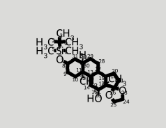 CC(C)(C)[Si](C)(C)OC1CC[C@]2(C)C3=C[C@H](O)[C@@]4(C)C(CCC45OCCO5)C3CC[C@@H]2C1